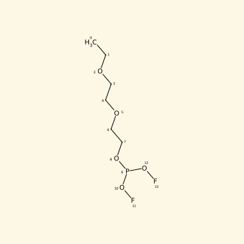 CCOCCOCCOP(OF)OF